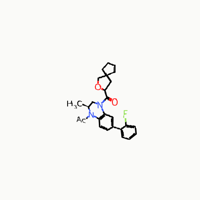 CC(=O)N1c2ccc(-c3ccccc3F)cc2N(C(=O)C2CC3(CCCC3)CO2)C[C@@H]1C